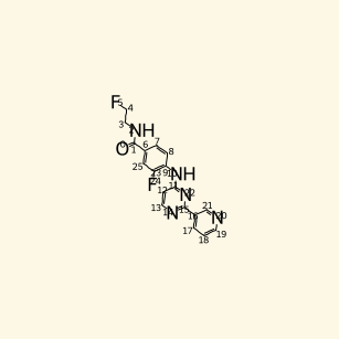 O=C(NCCF)c1ccc(Nc2ccnc(-c3cccnc3)n2)c(F)c1